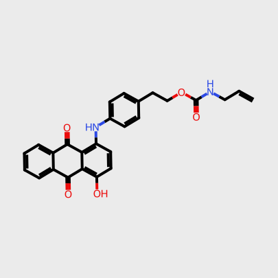 C=CCNC(=O)OCCc1ccc(Nc2ccc(O)c3c2C(=O)c2ccccc2C3=O)cc1